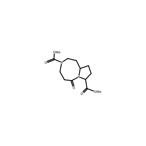 COC(=O)C1CCC2CCN(C(=O)OC)CCC(=O)N21